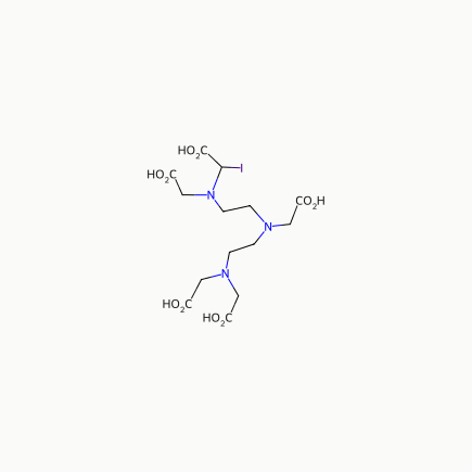 O=C(O)CN(CCN(CC(=O)O)CC(=O)O)CCN(CC(=O)O)C(I)C(=O)O